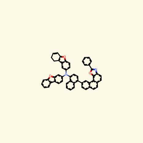 C1=Cc2oc3ccc(N(c4ccc5c(c4)oc4ccccc45)c4ccc(-c5ccc6ccc7ccc8nc(-c9ccccc9)oc8c7c6c5)c5ccccc45)cc3c2CC1